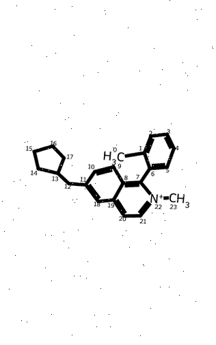 Cc1ccccc1-c1c2ccc(CC3CCCC3)cc2cc[n+]1C